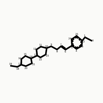 CCc1ccc(C=CCCC2CCC(C3CCC(CC)CC3)CC2)cc1